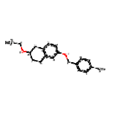 COc1ccc(COc2ccc3c(c2)CCC(OCC(=O)O)C3)cc1